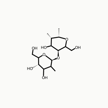 CC1C(O)[C@H](O)C(CO)O[C@H]1O[C@@H]1C(CO)O[C@@H](C)[C@@H](C)C1O